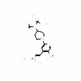 CN(C)C=Cc1cc(N2CCC(N(C(=O)O)C(C)(C)C)CC2)ncc1[N+](=O)[O-]